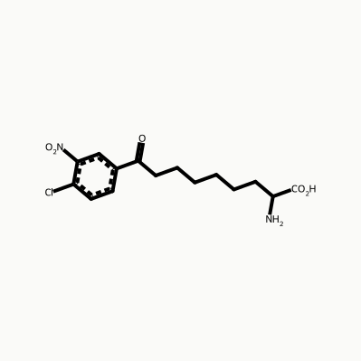 NC(CCCCCCC(=O)c1ccc(Cl)c([N+](=O)[O-])c1)C(=O)O